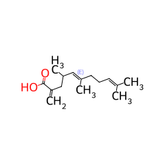 C=C(CC(C)/C=C(\C)CCC=C(C)C)C(=O)O